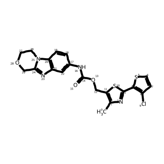 Cc1nc(-c2sccc2Cl)sc1COC(=O)Nc1ccc2c(c1)nc1n2CCOC1